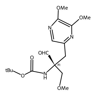 COC[C@@](C=O)(Cc1cnc(OC)c(OC)n1)NC(=O)OC(C)(C)C